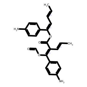 C/C=C/C=C(/OC(=O)C(/C=C/C)=C(\O[C]=O)c1ccc(N)cc1)c1ccc(N)cc1